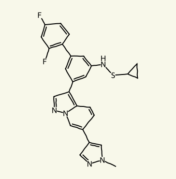 Cn1cc(-c2ccc3c(-c4cc(NSC5CC5)cc(-c5ccc(F)cc5F)c4)cnn3c2)cn1